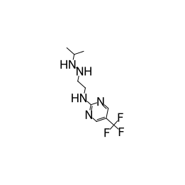 CC(C)NNCCNc1ncc(C(F)(F)F)cn1